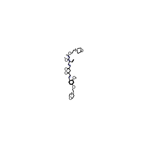 C=CC(/C=C/C(=O)CC(=O)/C=C/c1ccc(OCCN2CCOCC2)cc1OC)=C(\C=C(/C)OCCN1CCOCC1)OC